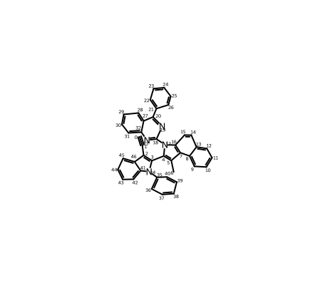 C#Cc1c(-c2c(C)c3c4ccccc4ccc3n2-c2nc(-c3ccccc3)c3ccccc3n2)n(-c2ccccc2)c2ccccc12